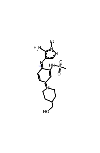 CCn1ncc(/N=C2/C=CC(=[N+]3CCC(CO)CC3)C=C2NS(C)(=O)=O)c1N